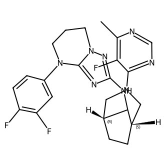 Cc1ncnc(N2C[C@H]3CC[C@@H](C2)C3Nc2nc3n(n2)CCCN3c2ccc(F)c(F)c2)c1F